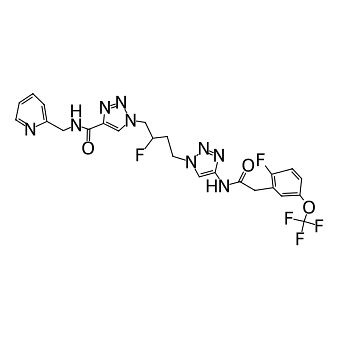 O=C(Cc1cc(OC(F)(F)F)ccc1F)Nc1cn(CCC(F)Cn2cc(C(=O)NCc3ccccn3)nn2)nn1